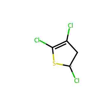 Cl[C]1CC(Cl)=C(Cl)S1